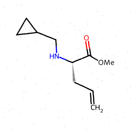 C=CC[C@H](NCC1CC1)C(=O)OC